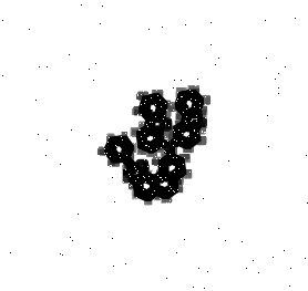 c1ccc(-c2nc3ccc4ccc5ccc(N(c6ccc7sc8ccccc8c7c6)c6cccc7c6oc6ccccc67)cc5c4c3o2)cc1